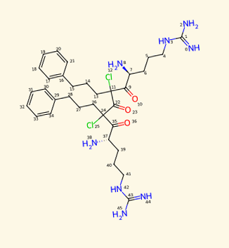 N=C(N)NCCC[C@H](N)C(=O)C(Cl)(CCCc1ccccc1)C(=O)C(Cl)(CCCc1ccccc1)C(=O)[C@@H](N)CCCNC(=N)N